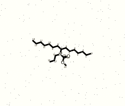 CCCCCCCC(CCCCCCC)N(CCC)C(=O)OC